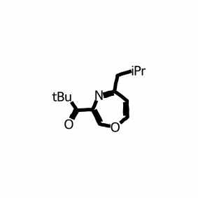 CC(C)CC1=NC(C(=O)C(C)(C)C)=COC=C1